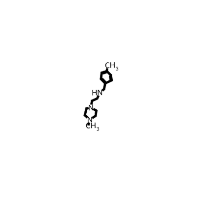 Cc1ccc(CNCCN2CCN(C)CC2)cc1